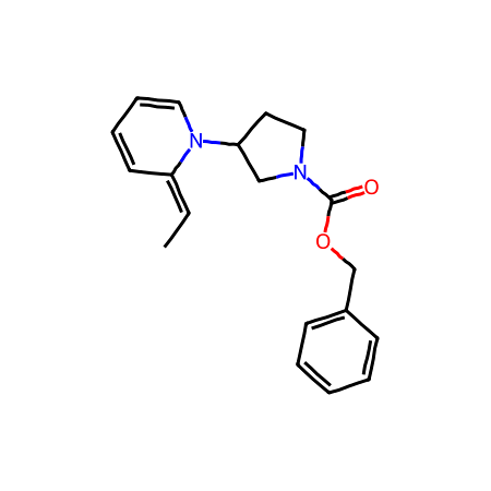 CC=C1C=CC=CN1C1CCN(C(=O)OCc2ccccc2)C1